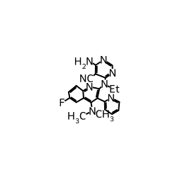 CCN(c1ncnc(N)c1C#N)c1nc2ccc(F)cc2c(N(C)C)c1-c1ccccn1